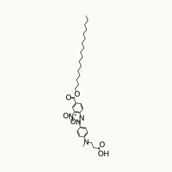 CCCCCCCCCCCCCCCCCOC(=O)c1ccc(/N=N/c2ccc(N(C)CCC(=O)O)cc2)c([N+](=O)[O-])c1